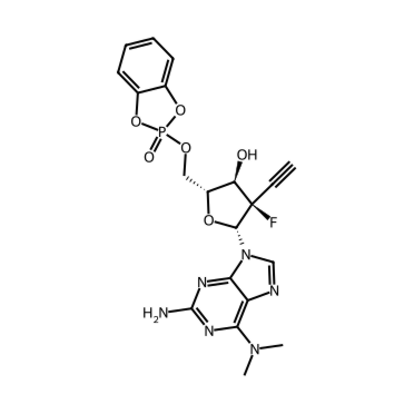 C#C[C@@]1(F)[C@H](O)[C@@H](COP2(=O)Oc3ccccc3O2)O[C@H]1n1cnc2c(N(C)C)nc(N)nc21